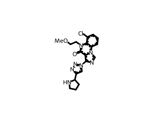 COCCn1c(=O)c2c(-n3cc(C4CCCN4)nn3)ncn2c2cccc(Cl)c21